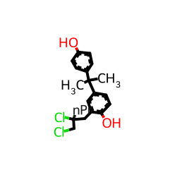 CCCC(Cl)(CCl)Cc1cc(C(C)(C)c2ccc(O)cc2)ccc1O